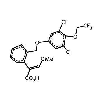 CO/C=C(/C(=O)O)c1ccccc1COc1cc(Cl)c(OCC(F)(F)F)c(Cl)c1